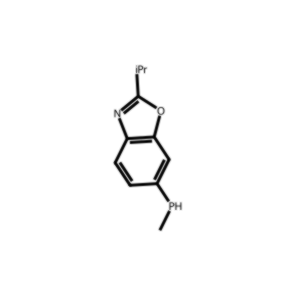 CPc1ccc2nc(C(C)C)oc2c1